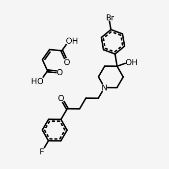 O=C(CCCN1CCC(O)(c2ccc(Br)cc2)CC1)c1ccc(F)cc1.O=C(O)/C=C\C(=O)O